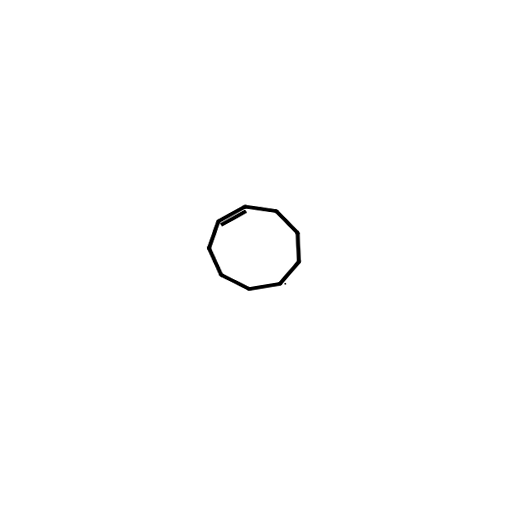 [CH]1CCCC=CCCC1